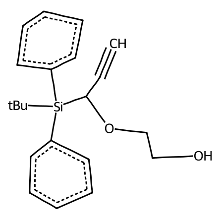 C#CC(OCCO)[Si](c1ccccc1)(c1ccccc1)C(C)(C)C